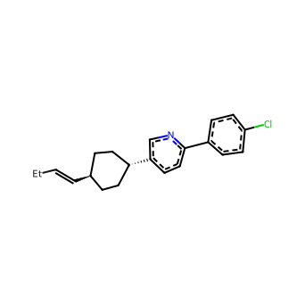 CC/C=C/[C@H]1CC[C@H](c2ccc(-c3ccc(Cl)cc3)nc2)CC1